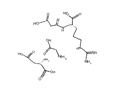 N=C(N)NCCC[C@H](NNCC(=O)O)C(=O)O.NCC(=O)O.N[C@@H](CC(=O)O)C(=O)O